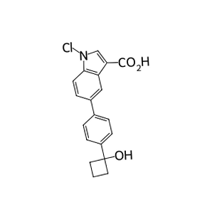 O=C(O)c1cn(Cl)c2ccc(-c3ccc(C4(O)CCC4)cc3)cc12